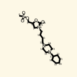 CS(=O)(=O)OCC1CN(CCCCN2CCN(C3CCCCC3)CC2)C(=O)O1